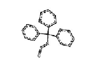 O=S=NC(c1ccccc1)(c1ccccc1)c1ccccc1